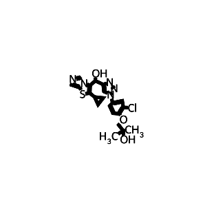 CC(C)(O)COc1ccc(-n2cc(C(O)c3c(C4CC4)sc4cncn34)nn2)cc1Cl